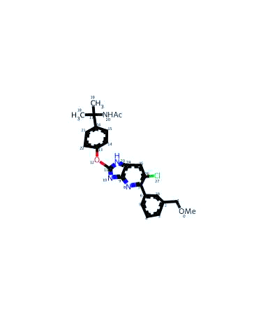 COCc1cccc(-c2nc3nc(Oc4ccc(C(C)(C)NC(C)=O)cc4)[nH]c3cc2Cl)c1